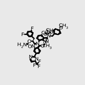 COc1ccc(CN(c2nn(C)c3c(-n4c([C@H](Cc5cc(F)cc(F)c5)OC(N)=O)nc5cc(-c6nccc(C(F)(F)F)n6)ccc5c4=O)ccc(Cl)c23)S(C)(=O)=O)cc1